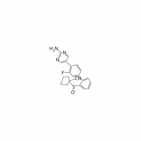 N#CC1([S+]([O-])c2ccccc2-c2ccc(-c3cnc(N)nc3)c(F)c2)CCCC1